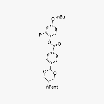 CCCCCC1COC(c2ccc(C(=O)Oc3ccc(OCCCC)cc3F)cc2)OC1